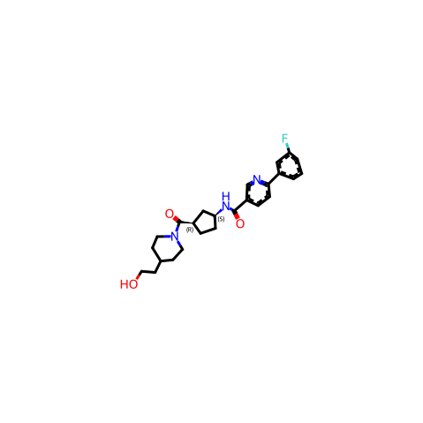 O=C(N[C@H]1CC[C@@H](C(=O)N2CCC(CCO)CC2)C1)c1ccc(-c2cccc(F)c2)nc1